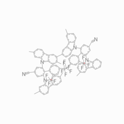 Cc1ccc2c(c1)c1ccccc1n2-c1cc(C#N)cc(-n2c3ccc(C)cc3c3cc(-c4cc5c6ccc(C)cc6n(-c6cc(C#N)cc(-n7c8cc(C)ccc8c8ccc(C)cc87)c6-c6ccc(C(F)(F)F)cc6C(F)(F)F)c5cc4C)ccc32)c1-c1ccc(C(F)(F)F)cc1C(F)(F)F